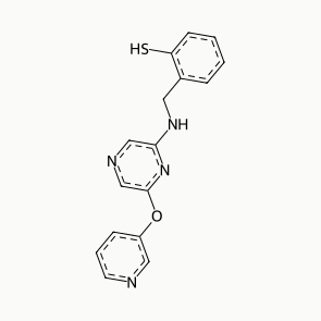 Sc1ccccc1CNc1cncc(Oc2cccnc2)n1